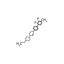 CCCC1CCC(C2C=CC(c3ccc(-c4ccc(C)c(F)c4F)cc3)CC2)CC1